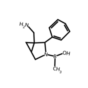 CB(O)N1CC2CC2(CN)C1c1ccccc1